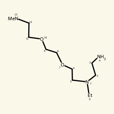 CCN(CCN)CCOCCOCCNC